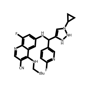 CC(C)(C)CNc1c(C#N)cnc2c(F)cc(NC(C3=CN(C4CC4)NN3)c3ccc(F)nc3)cc12